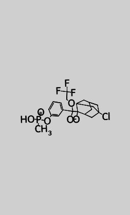 CP(=O)(O)Oc1cccc(C2(OCC(F)(F)F)OOC23C2CC4CC3CC(Cl)(C4)C2)c1